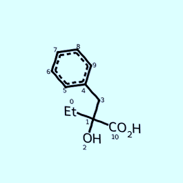 CCC(O)(Cc1ccccc1)C(=O)O